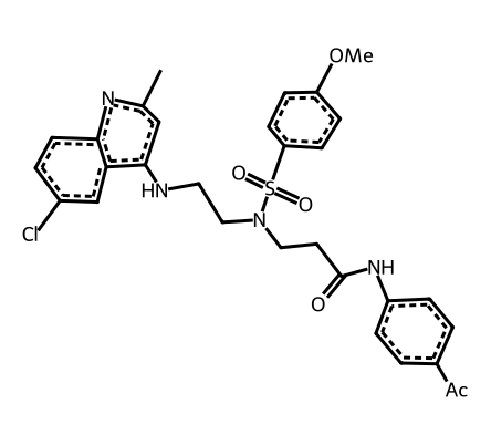 COc1ccc(S(=O)(=O)N(CCNc2cc(C)nc3ccc(Cl)cc23)CCC(=O)Nc2ccc(C(C)=O)cc2)cc1